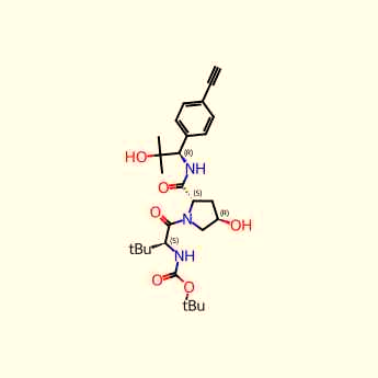 C#Cc1ccc([C@@H](NC(=O)[C@@H]2C[C@@H](O)CN2C(=O)[C@@H](NC(=O)OC(C)(C)C)C(C)(C)C)C(C)(C)O)cc1